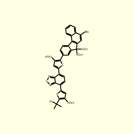 CCCCCCCCc1cc(-c2ccc(-c3cc(CCCCCCCC)c(C(C)(C)CC)s3)c3nsnc23)sc1-c1ccc2c(c1)C(CCCCCCCC)(CCCCCCCC)c1cc(C(C)CC)c3ccccc3c1-2